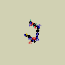 Cc1ncsc1-c1ccc(CNC(=O)[C@@H]2C[C@@H](O)CN2C(=O)C(NC(=O)CN2CC(N3CCN(c4ccc(-c5cnc6[nH]cc(C(=O)c7c(F)ccc(NS(=O)(=O)N8CC[C@@H](F)C8)c7F)c6c5)cc4)CC3)C2)C(C)(C)C)cc1